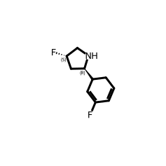 FC1=CC([C@H]2C[C@H](F)CN2)CC=C1